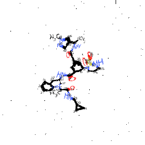 CC(NC(=O)c1cc(C(=O)N[C@H](CN[C@@H](C)C(=O)NCC2CC2)Cc2ccccc2)cc(N2CCCNS2(=O)=O)c1)c1cnn(C)c1